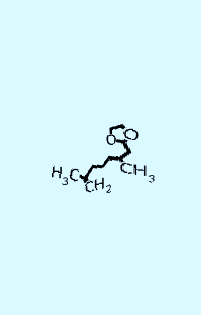 C=C(C)CCC=C(C)CC1OCCO1